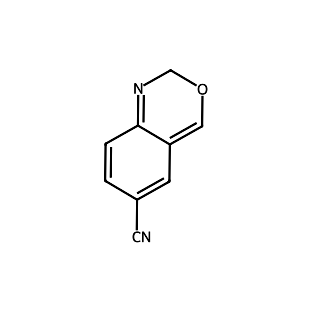 N#Cc1ccc2c(c1)=COCN=2